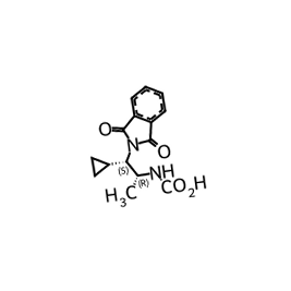 C[C@@H](NC(=O)O)[C@H](C1CC1)N1C(=O)c2ccccc2C1=O